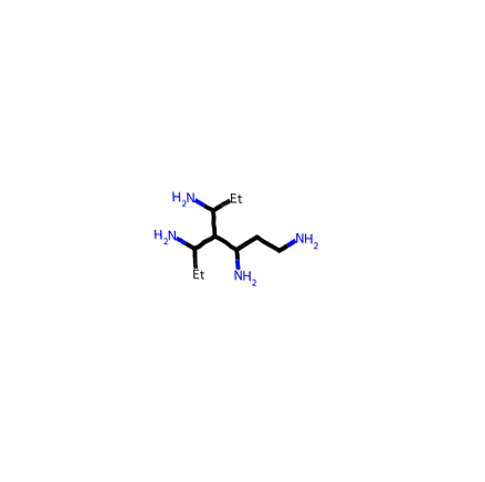 CCC(N)C(C(N)CC)C(N)CCN